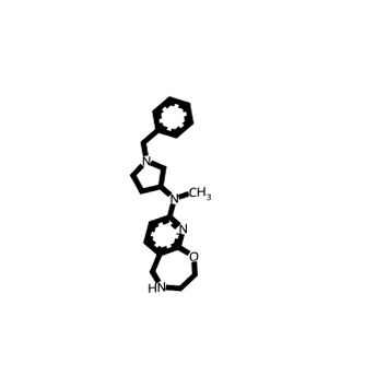 CN(c1ccc2c(n1)OCCNC2)C1CCN(Cc2ccccc2)C1